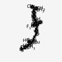 Cc1ncsc1-c1ccc([C@H](C)NC(=O)[C@@H]2C[C@@H](O)CN2C(=O)C(NC(=O)CCCCCC(=O)N2CCN(CCC(CSc3ccccc3)Nc3ccc(S(=O)(=O)NC(=O)c4ccc(N5CCN(CC6=C(c7ccc(Cl)cc7)CCC(C)(C)C6)CC5)nc4)cc3S(=O)(=O)C(F)(F)F)CC2)C(C)(C)C)cc1